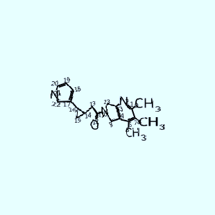 Cc1nc2c(c(C)c1C)CN(C(=O)CC1CC1c1cccnc1)C2